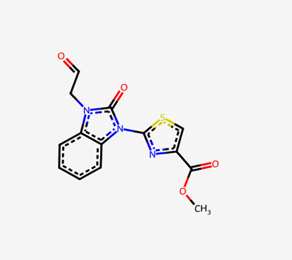 COC(=O)c1csc(-n2c(=O)n(CC=O)c3ccccc32)n1